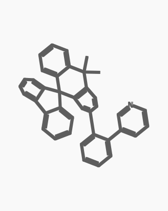 CC1(C)c2ccccc2C2(c3ccccc3-c3ccccc32)c2cc(-c3ccccc3-c3cccnc3)ccc21